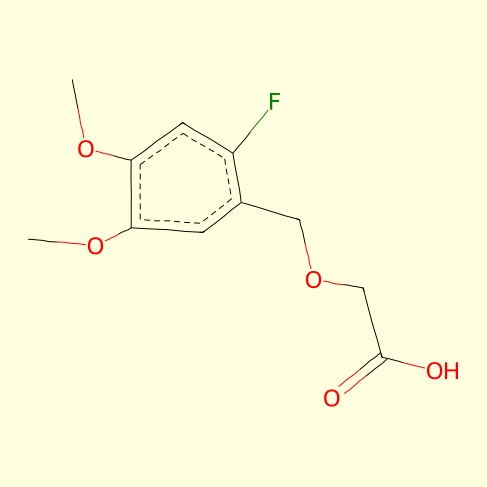 COc1cc(F)c(COCC(=O)O)cc1OC